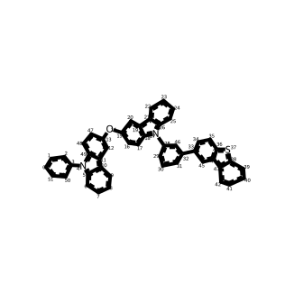 c1ccc(-n2c3ccccc3c3cc(Oc4ccc5c(c4)c4ccccc4n5-c4cccc(-c5ccc6sc7ccccc7c6c5)c4)ccc32)cc1